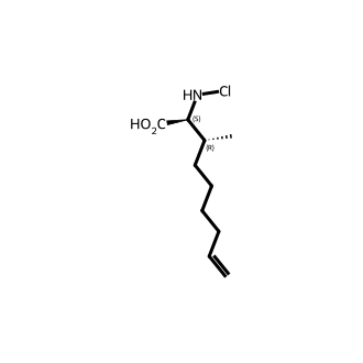 C=CCCCC[C@@H](C)[C@H](NCl)C(=O)O